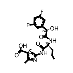 CCC[C@H](NC(=O)[C@@H](O)c1cc(F)cc(F)c1)C(=O)Nc1nc(C)c(C(=O)O)s1